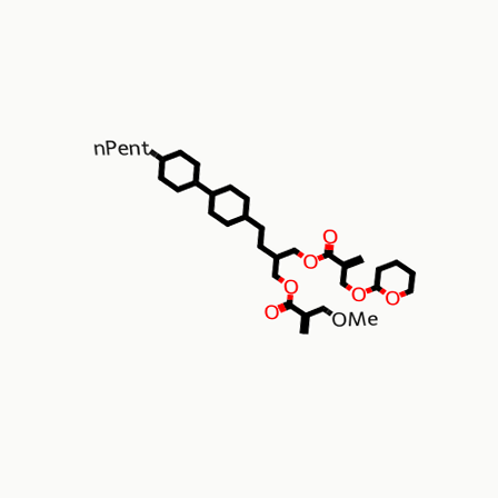 C=C(COC)C(=O)OCC(CCC1CCC(C2CCC(CCCCC)CC2)CC1)COC(=O)C(=C)COC1CCCCO1